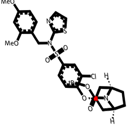 COc1ccc(CN(c2nccs2)S(=O)(=O)c2ccc(O[C@@H]3C[C@H]4CC[C@@H](C3)N4C(=O)OC(C)(C)C)c(Cl)c2)c(OC)c1